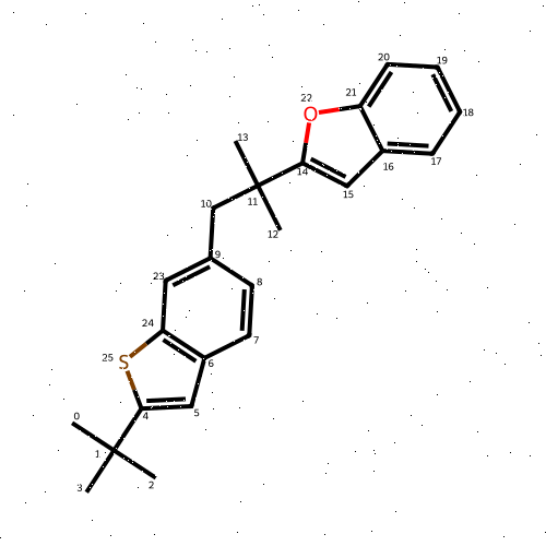 CC(C)(C)c1cc2ccc(CC(C)(C)c3cc4ccccc4o3)cc2s1